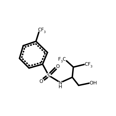 O=S(=O)(NC(CO)C(C(F)(F)F)C(F)(F)F)c1cccc(C(F)(F)F)c1